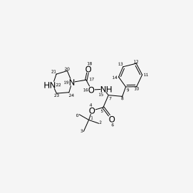 CC(C)(C)OC(=O)C(Cc1ccccc1)NOC(=O)N1CCNCC1